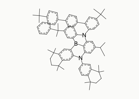 CC(C)c1cc2c3c(c1)N(c1ccc(C(C)(C)C)cc1-c1ccc(-c4ccc(C(C)(C)C)cc4)cc1)c1ccc(C(C)(C)c4ccccc4)cc1B3c1cc3c(cc1N2c1ccc2c(c1)C(C)(C)CCC2(C)C)C(C)(C)CCC3(C)C